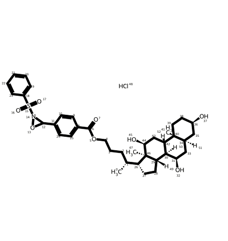 C[C@H](CCCOC(=O)c1ccc(C2ON2S(=O)(=O)c2ccccc2)cc1)[C@H]1CC[C@H]2[C@@H]3[C@H](O)C[C@@H]4C[C@H](O)CC[C@]4(C)[C@H]3C[C@H](O)[C@]12C.Cl